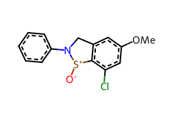 COc1cc(Cl)c2c(c1)CN(c1ccccc1)[S+]2[O-]